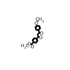 CCOc1ccc(C(=O)CC(=O)c2ccc(C(=O)OC)cc2)cc1